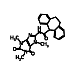 Cn1c(=O)c2c(nc(NC(=O)C3c4ccccc4CCc4ccccc43)n2C)n(C)c1=O